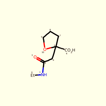 CCNC(=O)CC1(C(=O)O)CCCO1